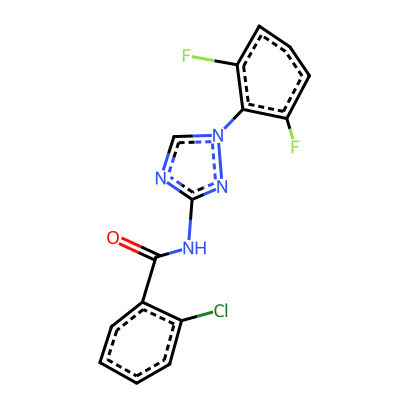 O=C(Nc1ncn(-c2c(F)cccc2F)n1)c1ccccc1Cl